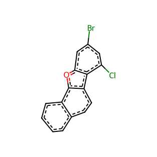 Clc1cc(Br)cc2oc3c4ccccc4ccc3c12